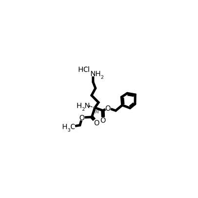 CCOC(=O)[C@@](N)(CCCCN)C(=O)OCc1ccccc1.Cl